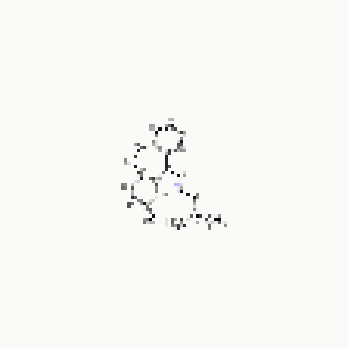 CN(C)C/C=C/C1c2ccccc2CCc2ccc(Cl)cc21